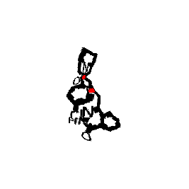 O=C(CCCc1n[nH]c(=O)c2ccccc12)N1C2CCC1CN(c1ccc(Cl)cn1)C2